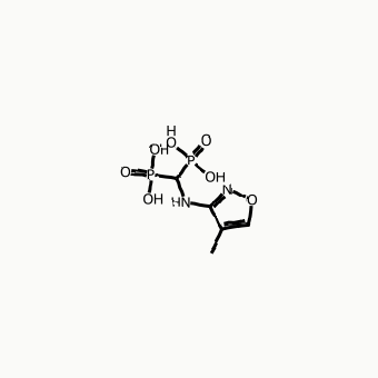 Cc1conc1NC(P(=O)(O)O)P(=O)(O)O